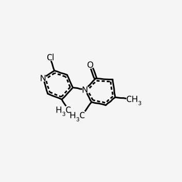 Cc1cc(C)n(-c2cc(Cl)ncc2C)c(=O)c1